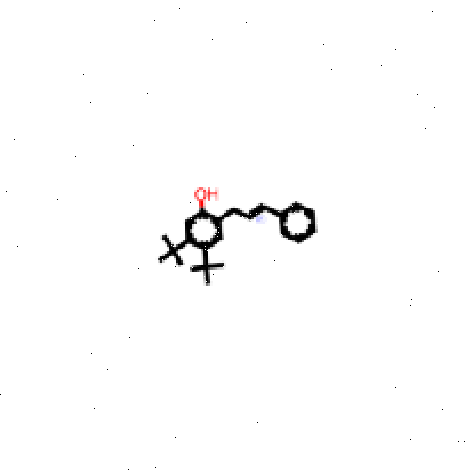 CC(C)(C)c1cc(O)c(C/C=C/c2ccccc2)cc1C(C)(C)C